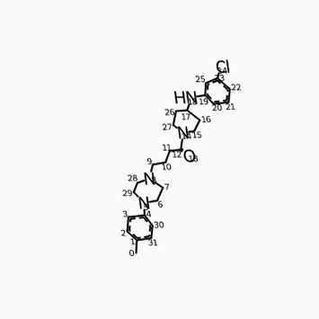 Cc1ccc(N2CCN(CCCC(=O)N3CCC(Nc4cccc(Cl)c4)CC3)CC2)cc1